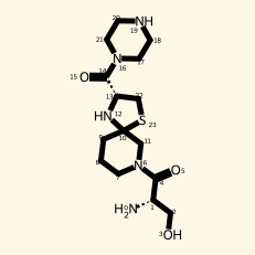 N[C@@H](CO)C(=O)N1CCCC2(C1)N[C@H](C(=O)N1CCNCC1)CS2